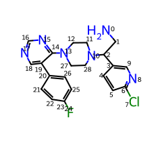 NCC(c1ccc(Cl)nc1)N1CCN(c2ncncc2-c2ccc(F)cc2)CC1